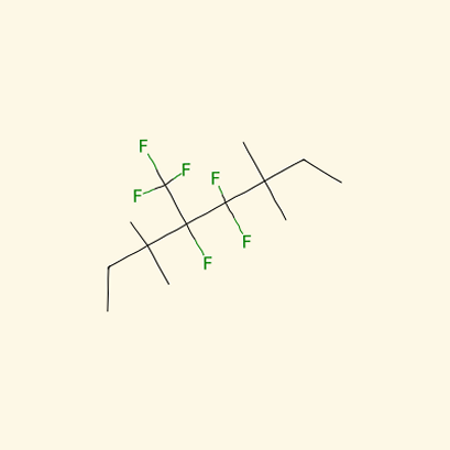 CCC(C)(C)C(F)(F)C(F)(C(F)(F)F)C(C)(C)CC